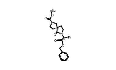 CCCCOC(=O)N1CC[C@]2(CCN([C@H](C(=O)OCc3ccccc3)C(C)C)C2=O)C1